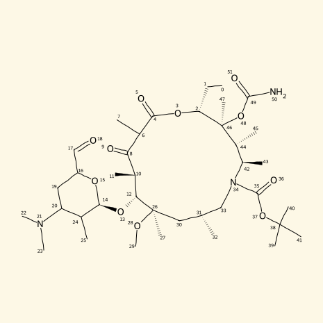 CC[C@H]1OC(=O)C(C)C(=O)[C@H](C)[C@@H](O[C@@H]2OC(C=O)CC(N(C)C)C2C)[C@](C)(OC)C[C@@H](C)CN(C(=O)OC(C)(C)C)[C@H](C)[C@@H](C)[C@]1(C)OC(N)=O